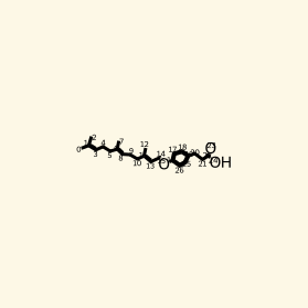 CC(C)=CCC/C(C)=C/CC/C(C)=C/COc1ccc(CCC(=O)O)cc1